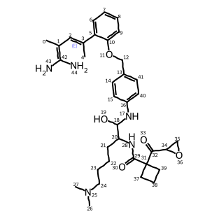 CC(/C=C(\C)c1ccccc1OCc1ccc(NC(O)C(CCCCN(C)C)NC(=O)C2(C(=O)C3CO3)CCC2)cc1)=C(N)N